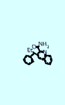 CCC(c1ccccc1)c1cc2ccccc2nc1C(N)=O